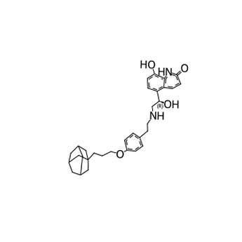 O=c1ccc2c([C@@H](O)CNCCc3ccc(OCCCC45CC6CC(CC(C6)C4)C5)cc3)ccc(O)c2[nH]1